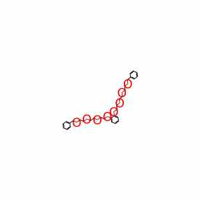 c1ccc(COCCOCCOCCOc2ccccc2OCCOCCOCCOCc2ccccc2)cc1